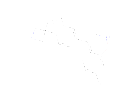 CCCc1cc(C2=C3CC=C(C(F)(F)F)C=C3ONC2)ccc1C1(C(=O)O)CNC1